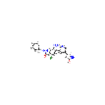 Nc1ncc(C2CNC(=O)C2)cc1-c1ccc(C(=O)NCc2ccccc2)c(F)c1